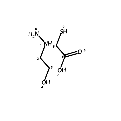 NNCCO.O=C(O)CS